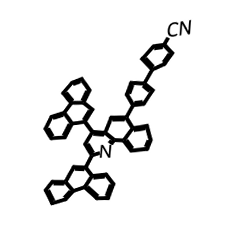 N#Cc1ccc(-c2ccc(-c3cc4c(-c5cc6ccccc6c6ccccc56)cc(-c5cc6ccccc6c6ccccc56)nc4c4ccccc34)cc2)cc1